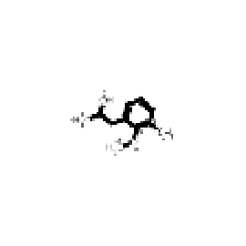 [CH2]C(O)Cc1cccc(C)c1OC